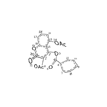 CC(=O)Oc1c(OC(=O)c2ccccc2)c2c(OC(C)=O)cccc2oc1=O